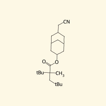 CC(C)(C)CC(C)(C(=O)OC1CC2CC(CC#N)CC(C2)C1)C(C)(C)C